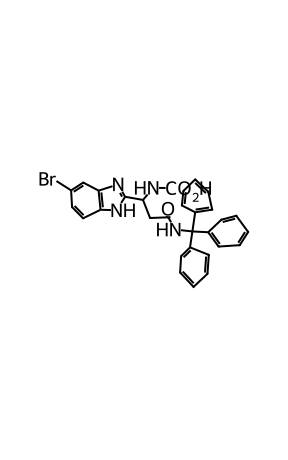 O=C(O)NC(CC(=O)NC(c1ccccc1)(c1ccccc1)c1ccccc1)c1nc2cc(Br)ccc2[nH]1